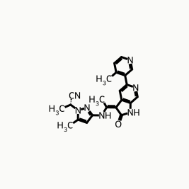 C/C(Nc1cc(C)n([C@H](C)C#N)n1)=C1/C(=O)Nc2cnc(-c3cnccc3C)cc21